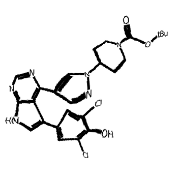 CC(C)(C)OC(=O)N1CCC(n2cc(-c3ncnc4[nH]cc(-c5cc(Cl)c(O)c(Cl)c5)c34)cn2)CC1